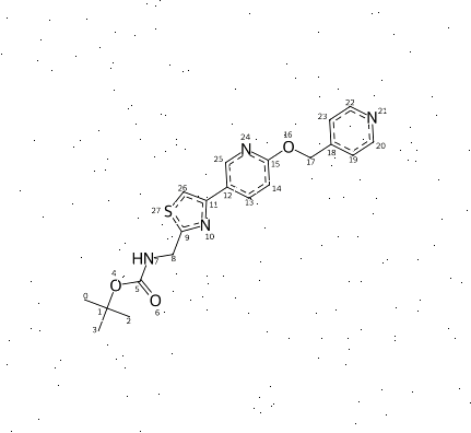 CC(C)(C)OC(=O)NCc1nc(-c2ccc(OCc3ccncc3)nc2)cs1